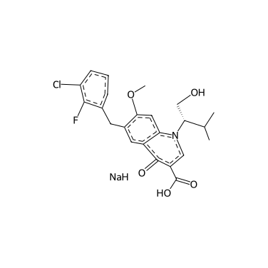 COc1cc2c(cc1Cc1cccc(Cl)c1F)c(=O)c(C(=O)O)cn2[C@H](CO)C(C)C.[NaH]